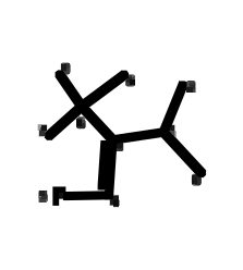 CC(C)C(=CF)C(C)(C)C